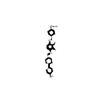 CCCCC[C@H]1CC[C@H](COc2ccc(OC[C@H]3CC[C@H]([C@H]4CC[C@H](CCC)CC4)CC3)c(F)c2F)CC1